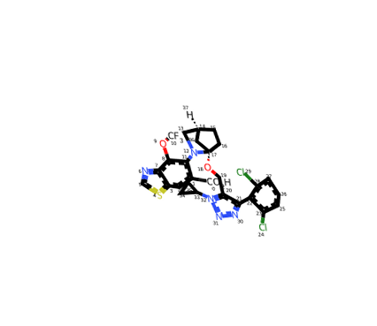 O=C(O)c1cc2scnc2c(OC(F)(F)F)c1N1C[C@H]2CC[C@]1(OCc1c(-c3c(Cl)cccc3Cl)nnn1C1CC1)C2